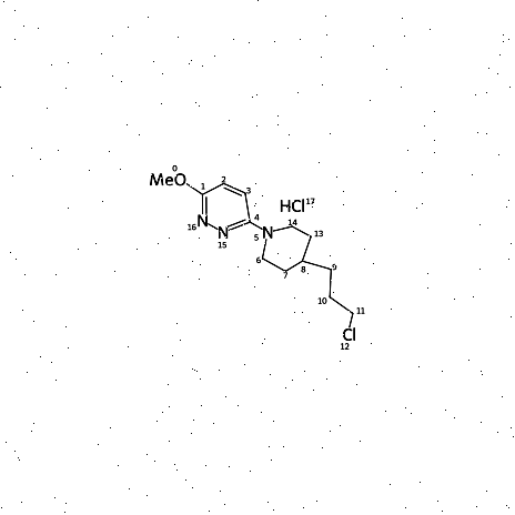 COc1ccc(N2CCC(CCCCl)CC2)nn1.Cl